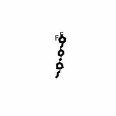 CCCC[C@H]1CC[C@H](/C=C/[C@H]2CC[C@H](CCc3ccc(F)c(F)c3)CC2)CC1